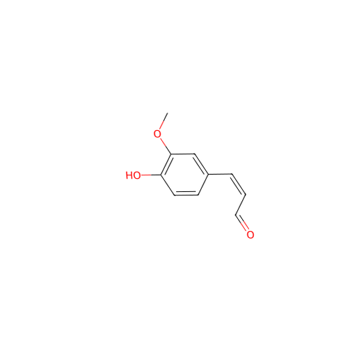 COc1cc(/C=C\C=O)ccc1O